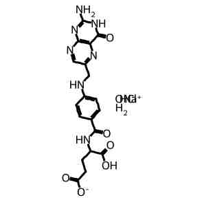 Cl.Nc1nc2ncc(CNc3ccc(C(=O)NC(CCC(=O)[O-])C(=O)O)cc3)nc2c(=O)[nH]1.O.[Na+]